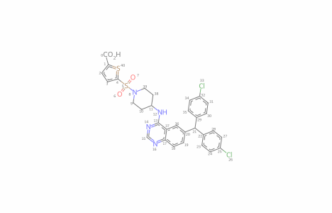 O=C(O)c1ccc(S(=O)(=O)N2CCC(Nc3ncnc4ccc(C(c5ccc(Cl)cc5)c5ccc(Cl)cc5)cc34)CC2)s1